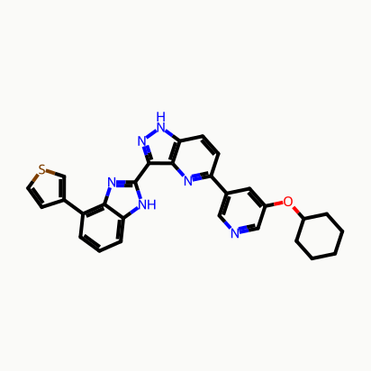 c1cc(-c2ccsc2)c2nc(-c3n[nH]c4ccc(-c5cncc(OC6CCCCC6)c5)nc34)[nH]c2c1